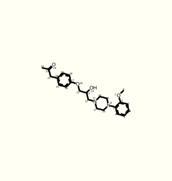 COc1ccccc1N1CCN(CC(O)COc2ccc(CC(C)=O)cc2)CC1